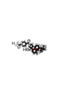 CC(=O)N1CCC(C(=O)N2C[C@@H](c3ccc(C(O)(C(F)(F)F)C(F)(F)F)cc3)[C@@](CO)(c3ccc(F)cc3)C2)CC1